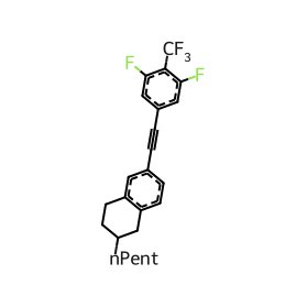 CCCCCC1CCc2cc(C#Cc3cc(F)c(C(F)(F)F)c(F)c3)ccc2C1